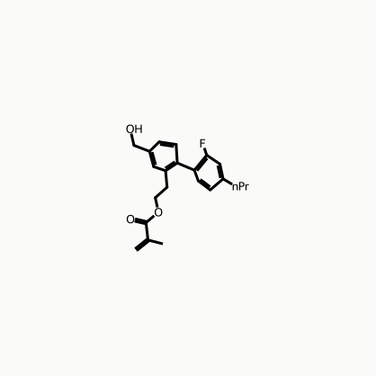 C=C(C)C(=O)OCCc1cc(CO)ccc1-c1ccc(CCC)cc1F